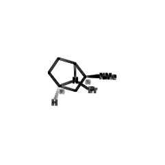 CN[C@H]1C[C@H]2CCC1N2C(C)C